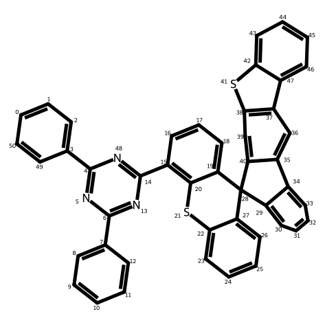 c1ccc(-c2nc(-c3ccccc3)nc(-c3cccc4c3Sc3ccccc3C43c4ccccc4-c4cc5c(cc43)sc3ccccc35)n2)cc1